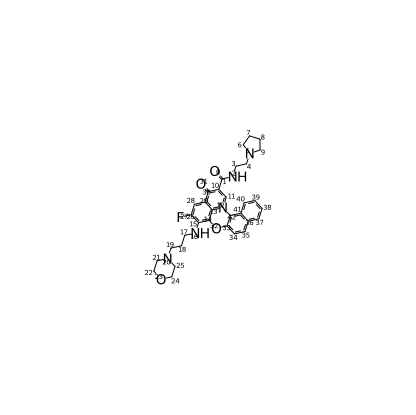 O=C(NCCN1CCCC1)c1cn2c3c(c(NCCCN4CCOCC4)c(F)cc3c1=O)Oc1ccc3ccccc3c1-2